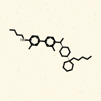 CCCCCC1([C@H]2CC[C@H](C(C)c3ccc(-c4ccc(NCCCC)c(C)c4)cc3C)CC2)CCCCC1